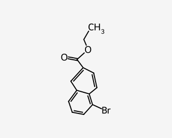 CCOC(=O)c1ccc2c(Br)cccc2c1